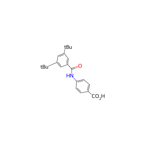 CC(C)(C)c1cc(C(=O)Nc2ccc(C(=O)O)cc2)cc(C(C)(C)C)c1